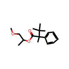 COCC(C)OC(=O)C(C)(c1ccccc1)C(C)(C)C